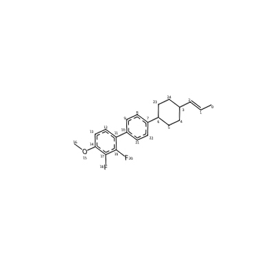 CC=CC1CCC(c2ccc(-c3ccc(OC)c(F)c3F)cc2)CC1